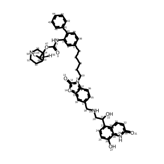 O=C(Nc1cc(CCCCCn2c(=O)oc3cc(CNCC(O)c4ccc(O)c5[nH]c(=O)ccc45)ccc32)ccc1-c1ccccc1)O[C@H]1CN2CCC1CC2